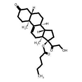 CCCCC(=O)O[C@]1(C(=O)CO)CC[C@H]2[C@@H]3CC[C@H]4CC(=O)CC[C@]4(C)C3=CC[C@@]21C